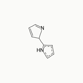 C1=CC(c2ccc[nH]2)N=C1